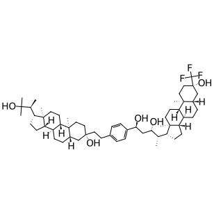 C[C@@H]([C@H]1CC[C@H]2[C@@H]3CC[C@H]4C[C@](O)(C(F)(F)F)CC[C@]4(C)[C@H]3CC[C@]12C)[C@@H](O)C[C@H](O)c1ccc(CC[C@]2(O)CC[C@@]3(C)[C@@H](CC[C@@H]4[C@@H]3CC[C@]3(C)[C@@H]([C@H](C)C(C)(C)O)CC[C@@H]43)C2)cc1